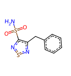 NS(=O)(=O)c1nsnc1Cc1ccccc1